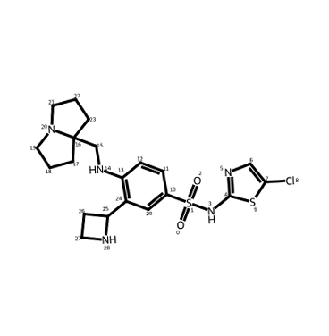 O=S(=O)(Nc1ncc(Cl)s1)c1ccc(NCC23CCCN2CCC3)c(C2CCN2)c1